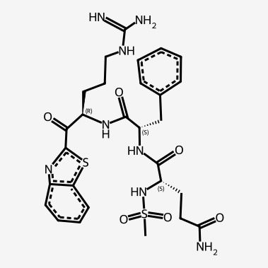 CS(=O)(=O)N[C@@H](CCC(N)=O)C(=O)N[C@@H](Cc1ccccc1)C(=O)N[C@H](CCCNC(=N)N)C(=O)c1nc2ccccc2s1